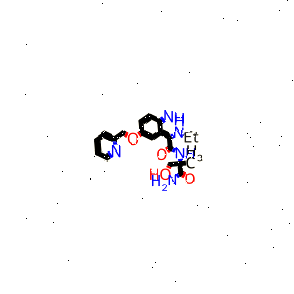 CCN/C(C(=O)NC(C)(CO)C(N)=O)=C1/C=C(OCc2ccccn2)C=CC1=N